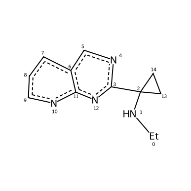 CCNC1(c2ncc3cccnc3n2)CC1